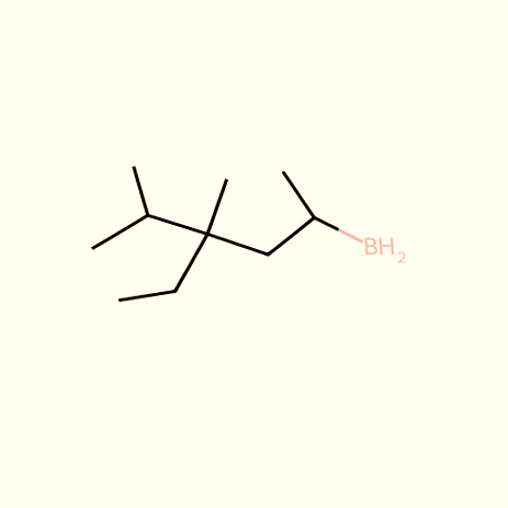 BC(C)CC(C)(CC)C(C)C